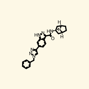 CN1[C@@H]2CC[C@H]1C[C@@H](NC(=O)c1n[nH]c3cc(-c4cn(Cc5ccccc5)nn4)ccc13)C2